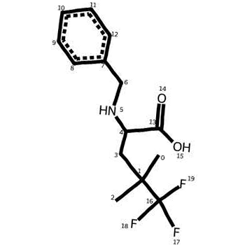 CC(C)(CC(NCc1ccccc1)C(=O)O)C(F)(F)F